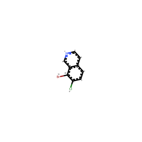 Clc1ccc2ccncc2c1Br